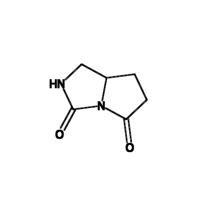 O=C1CCC2CNC(=O)N12